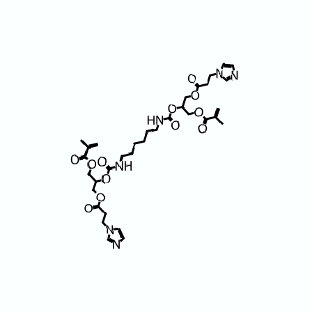 C=C(C)C(=O)OCC(COC(=O)CCn1ccnc1)OC(=O)NCCCCCCNC(=O)OC(COC(=O)CCn1ccnc1)COC(=O)C(=C)C